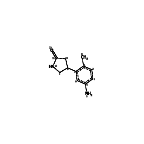 Cc1ccc(N)cc1C1CNC(=O)C1